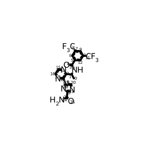 CC(NC(=O)c1cc(C(F)(F)F)cc(C(F)(F)F)c1)c1nccnc1-n1cnc(C(N)=O)n1